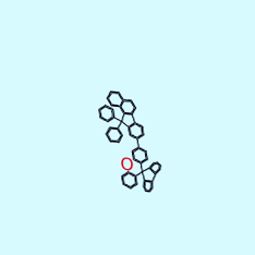 c1ccc(C2(c3ccccc3)c3cc(-c4ccc5c(c4)Oc4ccccc4C54c5ccccc5-c5ccccc54)ccc3-c3ccc4ccccc4c32)cc1